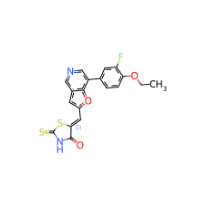 CCOc1ccc(-c2cncc3cc(/C=C4\SC(=S)NC4=O)oc23)cc1F